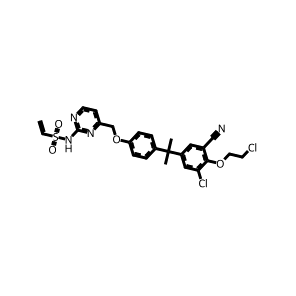 C=CS(=O)(=O)Nc1nccc(COc2ccc(C(C)(C)c3cc(Cl)c(OCCCl)c(C#N)c3)cc2)n1